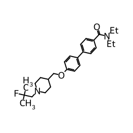 CCN(CC)C(=O)c1ccc(-c2ccc(OCC3CCN(CC(C)(C)F)CC3)cc2)cc1